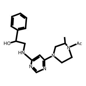 CC(=O)N1CCN(c2cc(NCC(O)c3ccccc3)ncn2)CC1C